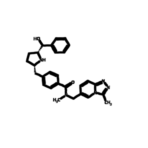 Cc1nnc2ccc(CN(C)C(=O)c3ccc(C[C@@H]4CC[C@H](C(O)c5ccccc5)N4)cc3)cn12